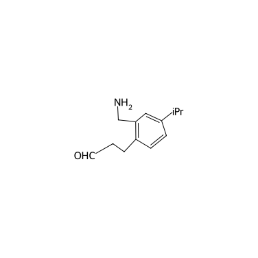 CC(C)c1ccc(CCC=O)c(CN)c1